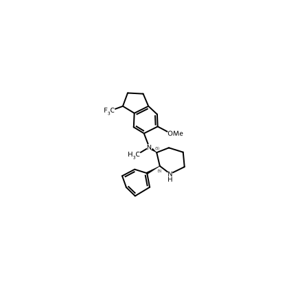 COc1cc2c(cc1N(C)[C@H]1CCCN[C@H]1c1ccccc1)C(C(F)(F)F)CC2